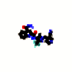 Cc1c(NC(=O)c2cc(C(N)=O)c3ccccc3n2)c(C(F)(F)F)nn1Cc1ccncc1C#N